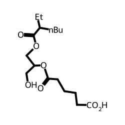 CCCCC(CC)C(=O)OCC(CO)OC(=O)CCCCC(=O)O